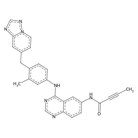 CC#CC(=O)Nc1ccc2ncnc(Nc3ccc(Cc4ccn5ncnc5c4)c(C)c3)c2c1